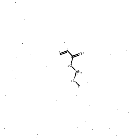 C=CC(=O)O[SiH2]OC